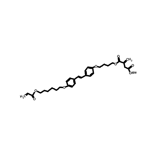 C=CC(=O)OCCCCCCOc1ccc(/C=C/c2ccc(OCCCCOC(=O)C(=C)CC(=O)OC)cc2)cc1